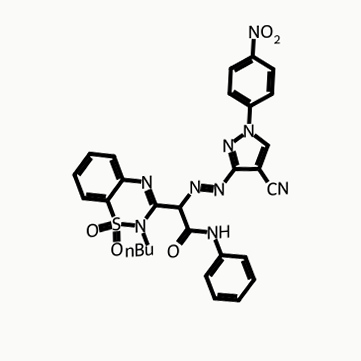 CCCCN1C(C(N=Nc2nn(-c3ccc([N+](=O)[O-])cc3)cc2C#N)C(=O)Nc2ccccc2)=Nc2ccccc2S1(=O)=O